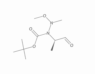 CON(C)N(C(=O)OC(C)(C)C)[C@H](C)C=O